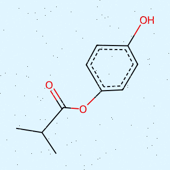 CC(C)C(=O)Oc1ccc(O)cc1